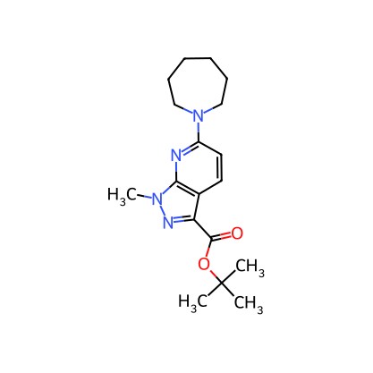 Cn1nc(C(=O)OC(C)(C)C)c2ccc(N3CCCCCC3)nc21